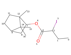 CCC(I)C(=O)OC1CC2CCC1(C)C2(C)C